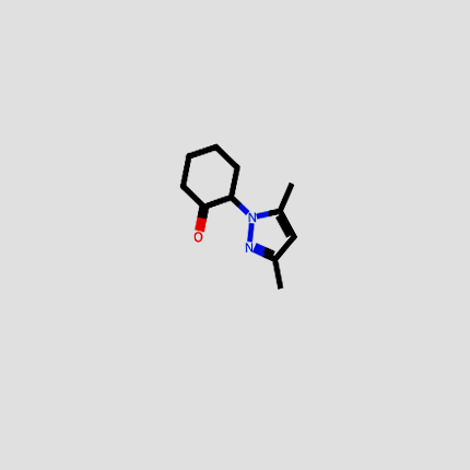 Cc1cc(C)n(C2CCCCC2=O)n1